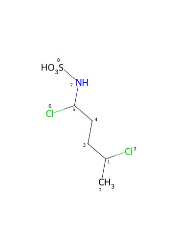 CC(Cl)CCC(Cl)NS(=O)(=O)O